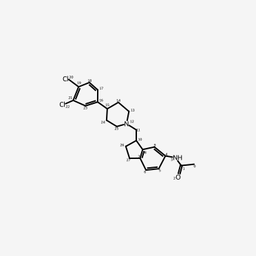 CC(=O)Nc1ccc2c(c1)C(CN1CCC(c3ccc(Cl)c(Cl)c3)CC1)CC2